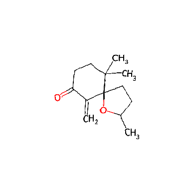 C=C1C(=O)CCC(C)(C)C12CCC(C)O2